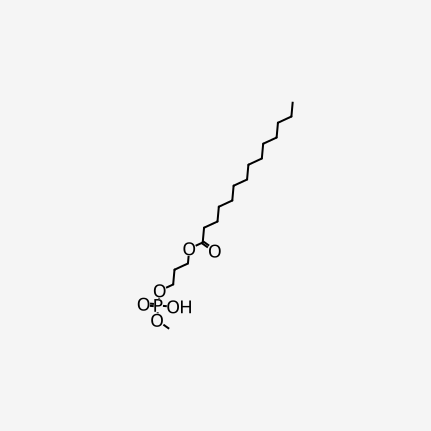 CCCCCCCCCCCCCC(=O)OCCCOP(=O)(O)OC